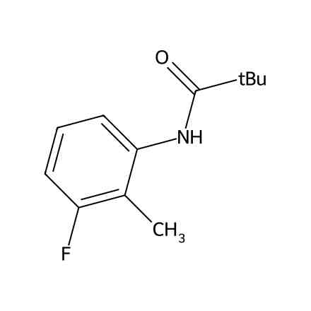 Cc1c(F)cccc1NC(=O)C(C)(C)C